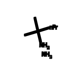 CCCC(C)(C)N.N